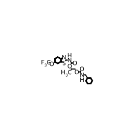 CC(COC(=O)NCc1ccccc1)OC(=O)Nc1nc2ccc(OC(F)(F)F)cc2s1